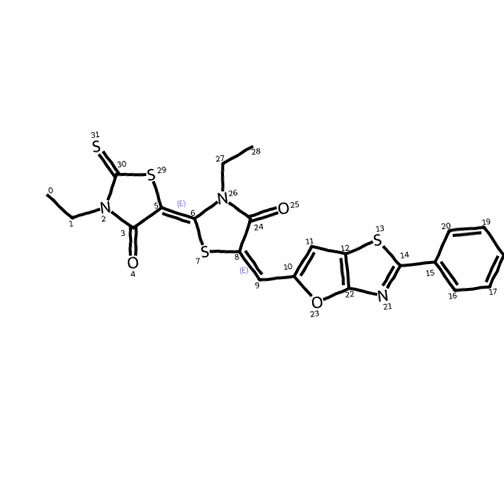 CCN1C(=O)/C(=c2\s/c(=C/c3cc4sc(-c5ccccc5)nc4o3)c(=O)n2CC)SC1=S